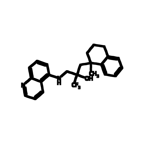 CC1(CC(O)(CNc2cccc3ncccc23)C(F)(F)F)CCCc2ccccc21